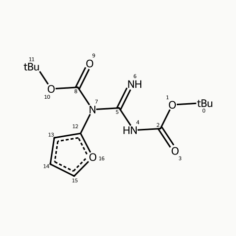 CC(C)(C)OC(=O)NC(=N)N(C(=O)OC(C)(C)C)c1ccco1